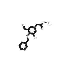 COC(=O)Cc1cc(Br)c(OCc2ccccc2)c(C=O)c1